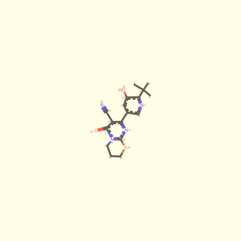 CC(C)(C)c1ncc(-c2nc3n(c(=O)c2C#N)CCCS3)cc1O